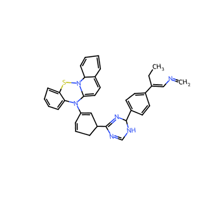 C=N/C=C(\CC)c1ccc(C2N=C(C3C=C(N4C5=CC=C6C=CC=CC6N5Sc5ccccc54)C=CC3)N=CN2)cc1